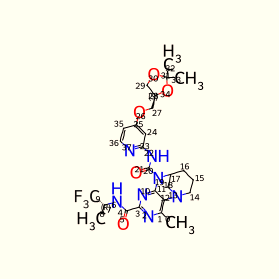 Cc1nc(C(=O)N[C@H](C)C(F)(F)F)nc2c1N1CCCC(C1)N2C(=O)Nc1cc(OC[C@H]2COC(C)(C)O2)ccn1